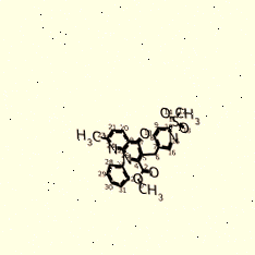 COC(=O)c1c(Cc2ccc(S(C)(=O)=O)nc2)c(=O)c2ccc(C)nc2n1-c1ccccc1